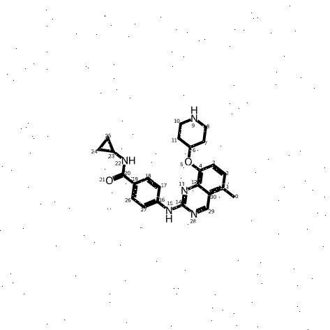 Cc1ccc(OC2CCNCC2)c2nc(Nc3ccc(C(=O)NC4CC4)cc3)ncc12